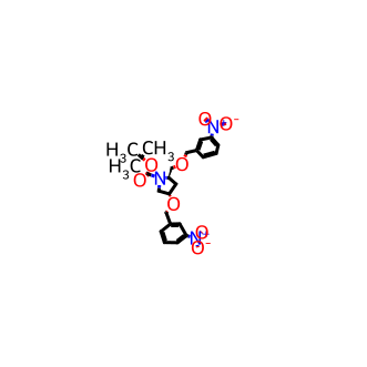 CC(C)(C)OC(=O)N1C[C@H](OCc2cccc([N+](=O)[O-])c2)C[C@@H]1COCc1cccc([N+](=O)[O-])c1